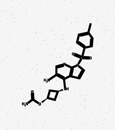 Cc1ccc(S(=O)(=O)n2ccc3c(N[C@H]4C[C@@H](OC(N)=O)C4)c(N)cnc32)cc1